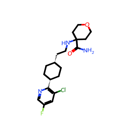 NC(=O)C1(NCC[C@H]2CC[C@@H](c3ncc(F)cc3Cl)CC2)CCOCC1